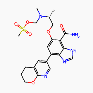 C[C@H](COc1cc(-c2cnc3c(c2)CCCO3)c2nc[nH]c2c1C(N)=O)N(C)COS(C)(=O)=O